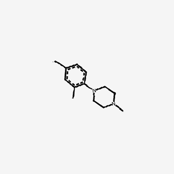 [CH2]c1ccc(N2CCN(C)CC2)c(C)c1